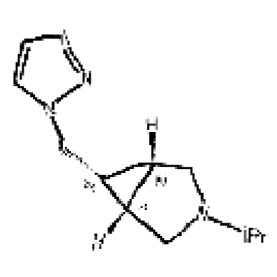 CC(C)N1C[C@@H]2[C@H](C1)[C@@H]2Cn1ccnn1